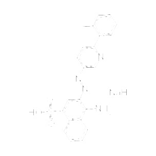 Cc1ccccc1-c1ccc(N=Nc2cc(S(=O)(=O)O)c3ccccc3c2N)cn1.[NaH]